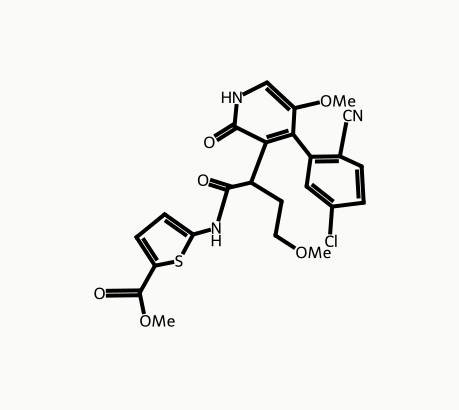 COCCC(C(=O)Nc1ccc(C(=O)OC)s1)c1c(-c2cc(Cl)ccc2C#N)c(OC)c[nH]c1=O